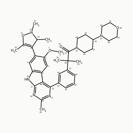 COc1cc2c(cc1C1=C(C)ON(C)C1C)[nH]c1nc(C)nc(-c3cccc(C(C)(C)C(=O)N4CCC(N5CCOCC5)CC4)c3)c12